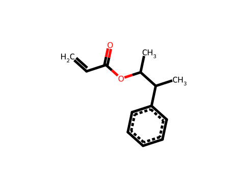 C=CC(=O)OC(C)C(C)c1ccccc1